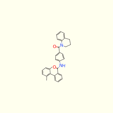 Cc1cccc(C)c1-c1ccccc1C(=O)Nc1ccc(C(=O)N2CCCc3ccccc32)cc1